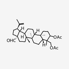 C=C(C)[C@@H]1CC[C@]2(C=O)CC[C@]3(C)[C@H](CC[C@@H]4[C@@]5(C)CCC(OC(C)=O)C(C)(COC(C)=O)[C@@H]5CC[C@]43C)[C@@H]12